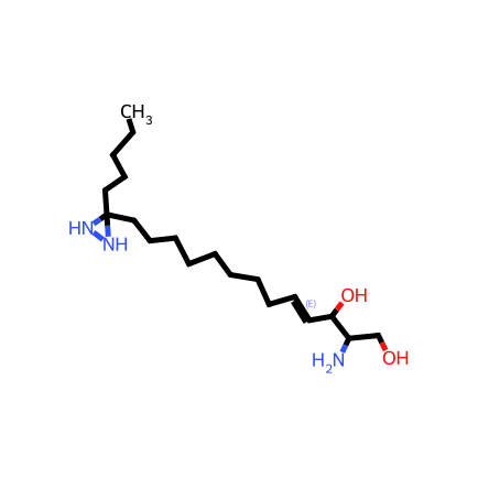 CCCCCC1(CCCCCCCC/C=C/C(O)C(N)CO)NN1